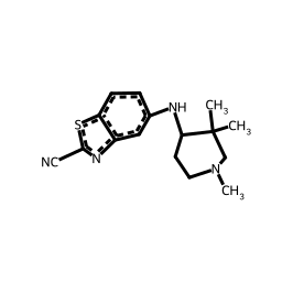 CN1CCC(Nc2ccc3sc(C#N)nc3c2)C(C)(C)C1